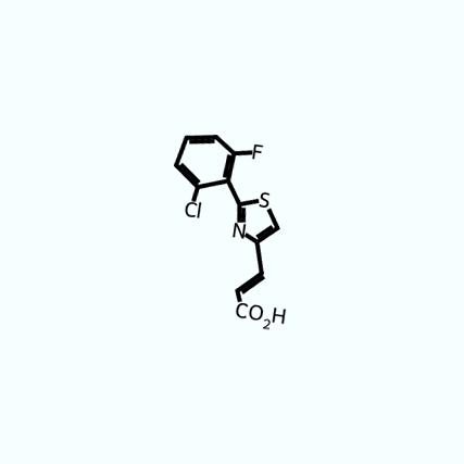 O=C(O)C=Cc1csc(-c2c(F)cccc2Cl)n1